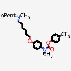 CCCCCN(C)CCCCCCOc1ccc(N(C)C(=O)Oc2ccc(C(F)(F)F)cc2)cc1